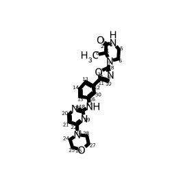 CC1C(=O)NCCN1c1ncc(-c2cccc(Nc3nccc(N4CCOCC4)n3)c2)o1